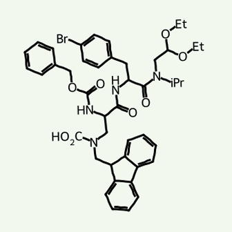 CCOC(CN(C(=O)C(Cc1ccc(Br)cc1)NC(=O)C(CN(CC1c2ccccc2-c2ccccc21)C(=O)O)NC(=O)OCc1ccccc1)C(C)C)OCC